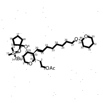 CC(=O)OCC[C@@H]1OCC[C@H](OC2(O[Si](C)(C)C(C)(C)C)CCCC2)[C@H]1C=CCCCCCCO[C@H]1CCCCO1